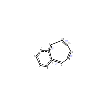 C1=C\C=c2\cccn\c2=C\C=C/1